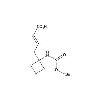 CC(C)(C)OC(=O)NC1(CC=CC(=O)O)CCC1